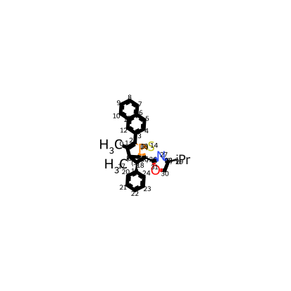 CC1=C(c2ccc3ccccc3c2)[P@@]2(=S)C[C@@]1(C)[C@H](c1ccccc1)[C@@H]2C1=N[C@@H](C(C)C)CO1